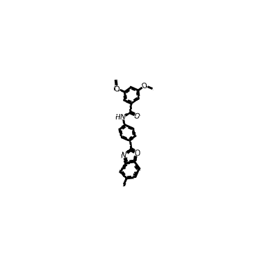 COc1cc(OC)cc(C(=O)Nc2ccc(-c3nc4cc(C)ccc4o3)cc2)c1